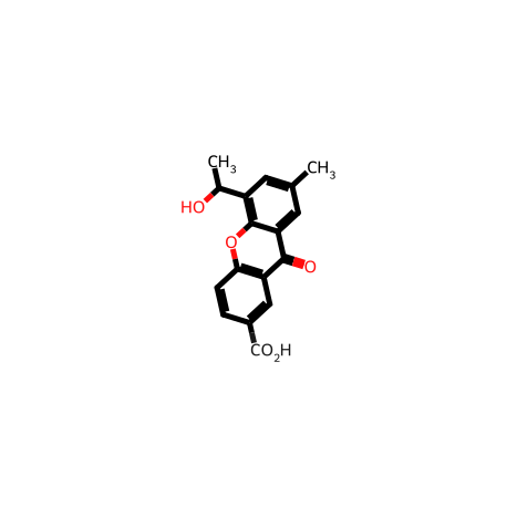 Cc1cc(C(C)O)c2oc3ccc(C(=O)O)cc3c(=O)c2c1